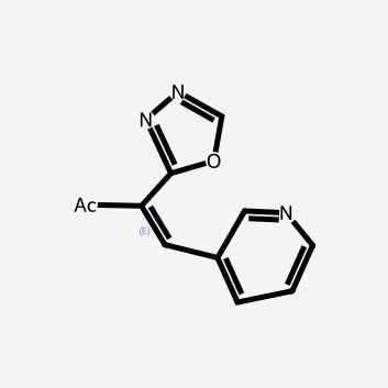 CC(=O)/C(=C/c1cccnc1)c1nnco1